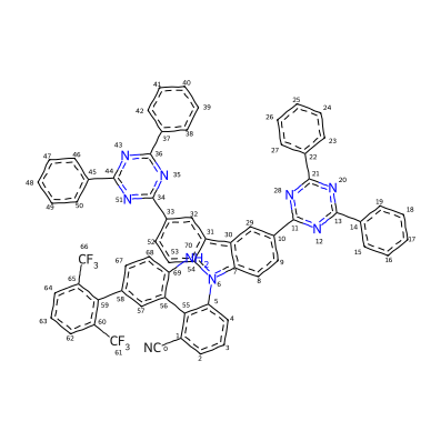 N#Cc1cccc(-n2c3ccc(-c4nc(-c5ccccc5)nc(-c5ccccc5)n4)cc3c3cc(-c4nc(-c5ccccc5)nc(-c5ccccc5)n4)ccc32)c1-c1cc(-c2c(C(F)(F)F)cccc2C(F)(F)F)ccc1N